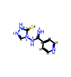 N=C(Nn1cn[nH]c1=S)c1ccncc1